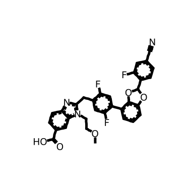 COCCn1c(Cc2cc(F)c(-c3cccc4c3OC(c3ccc(C#N)cc3F)O4)cc2F)nc2ccc(C(=O)O)cc21